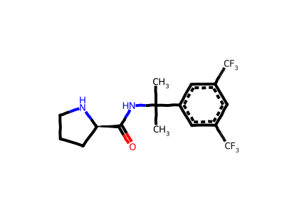 CC(C)(NC(=O)[C@H]1CCCN1)c1cc(C(F)(F)F)cc(C(F)(F)F)c1